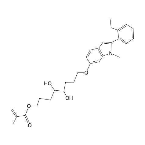 C=C(C)C(=O)OCCCC(O)C(O)CCCOc1ccc2cc(-c3ccccc3CC)n(C)c2c1